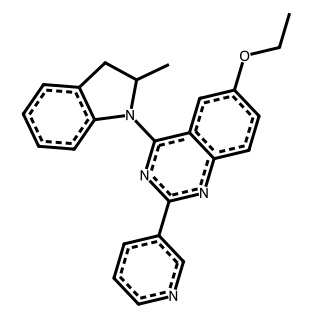 CCOc1ccc2nc(-c3cccnc3)nc(N3c4ccccc4CC3C)c2c1